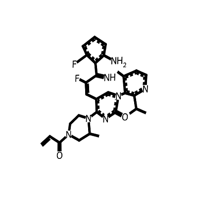 C=CC(=O)N1CCN(c2nc(=O)n(-c3c(C)ccnc3C(C)C)cc2/C=C(/F)C(=N)c2c(N)cccc2F)C(C)C1